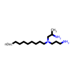 CCCCCCCCCCCCCCCCCCN(CCCN)CC(C)N